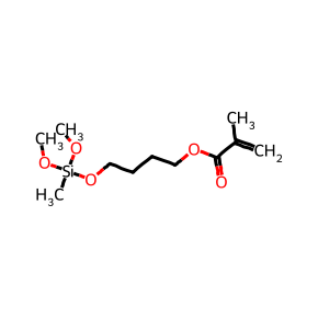 C=C(C)C(=O)OCCCCO[Si](C)(OC)OC